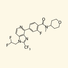 CN(C(=O)c1ccc(-c2nccc3c2nc(C(F)(F)F)n3CC(F)F)cc1F)C1CCOCC1